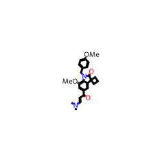 COc1ccc(CN2C(=O)C3(CCC3)c3cc(C(=O)C=CN(C)C)cc(OC)c32)cc1